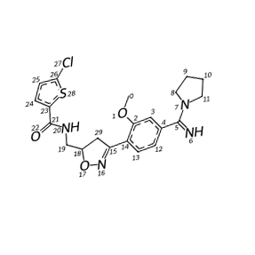 COc1cc(C(=N)N2CCCC2)ccc1C1=NOC(CNC(=O)c2ccc(Cl)s2)C1